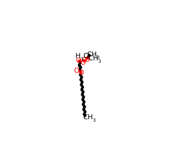 CCCCCCCCCCCCCCCCCCOC(=O)C=CC(=O)OOOC(C)(C)C